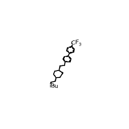 CCC(C)CCC1CCC(CCc2ccc(-c3ccc(C(F)(F)F)cc3)cc2)CC1